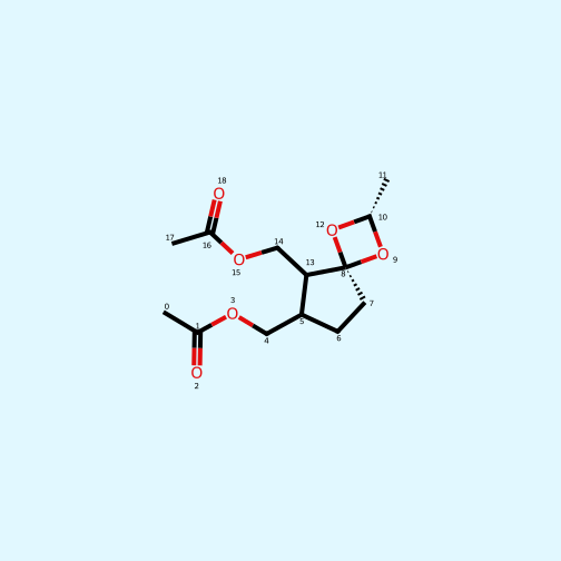 CC(=O)OCC1CC[C@]2(O[C@@H](C)O2)C1COC(C)=O